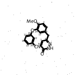 COc1ccc(Cc2ccc(=O)[nH]n2)cc1Oc1cccc(C#N)c1